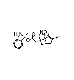 CCC1=C[C@@H]2[C@@H](C1)C[C@@]2(CC(=O)O[C@@](C)(N)c1ccccc1)C[N+](=O)[O-]